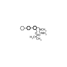 C=C(C)C(=O)OCc1cc(-c2ccc(C3CCCCC3)cc2)ccc1CN(C)CCN